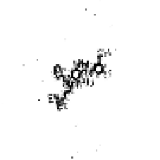 C#Cc1cc(Cl)cc(Nc2ncnc3cc(O[C@H]4CCOC4)c(NC(=O)/C=C/CN(CC)CC)cc23)c1